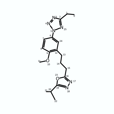 CCc1nnn(-c2ccc(OC)c(CCCc3nnc(C(C)C)o3)c2)n1